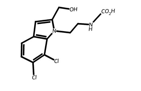 O=C(O)NCCn1c(CO)cc2ccc(Cl)c(Cl)c21